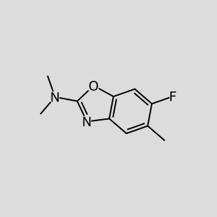 Cc1cc2nc(N(C)C)oc2cc1F